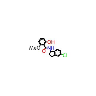 COc1cccc(O)c1C(=O)NC1CCc2cc(Cl)ccc21